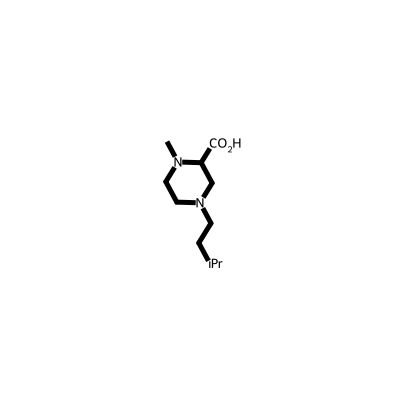 CC(C)CCN1CCN(C)C(C(=O)O)C1